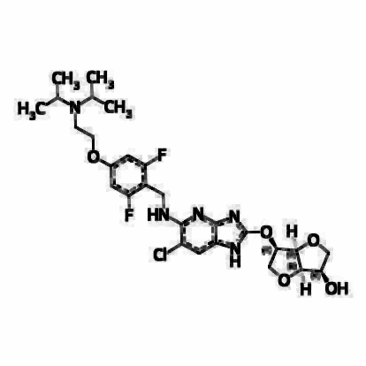 CC(C)N(CCOc1cc(F)c(CNc2nc3nc(O[C@@H]4CO[C@H]5[C@@H]4OC[C@H]5O)[nH]c3cc2Cl)c(F)c1)C(C)C